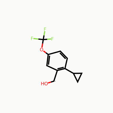 O[CH]c1cc(OC(F)(F)F)ccc1C1CC1